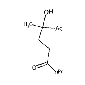 CCCC(=O)CCC(C)(O)C(C)=O